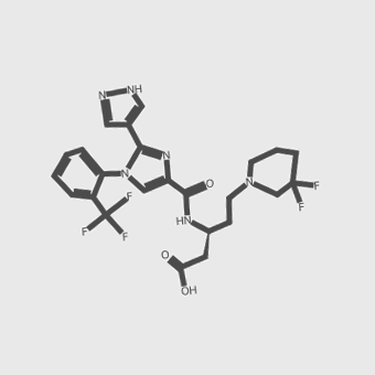 O=C(O)C[C@H](CCN1CCCC(F)(F)C1)NC(=O)c1cn(-c2ccccc2C(F)(F)F)c(-c2cn[nH]c2)n1